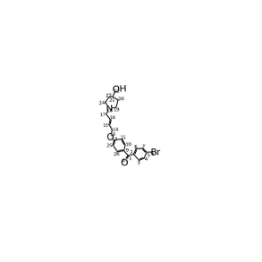 O=C(c1ccc(Br)cc1)c1ccc(OCC=CCN2CCC(O)CC2)cc1